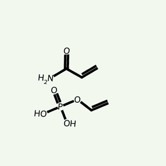 C=CC(N)=O.C=COP(=O)(O)O